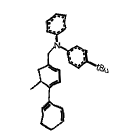 CC1CC(CN(c2ccccc2)c2ccc(C(C)(C)C)cc2)=CC=C1C1=CCCC=C1